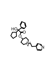 C[N+]1(CCc2ccncc2)CCC(OC(=O)C(O)(c2ccccc2)C2CCCC2)CC1